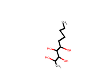 CCCCCC(O)C(O)C(O)C(C)O